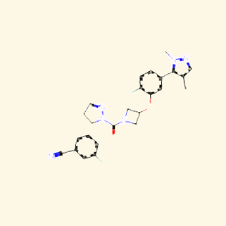 Cc1cnn(C)c1-c1ccc(F)c(OC2CN(C(=O)N3N=CC[C@H]3c3cc(F)cc(C#N)c3)C2)c1